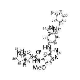 COc1cc2ncnc(Nc3ccc4c(cnn4Cc4cccc(F)c4)c3)c2cc1NC(=O)N1C[C@@H]2CCN(C)[C@@H]2C1